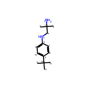 CC(C)(N)CNc1ccc(C(C)(C)C)cc1